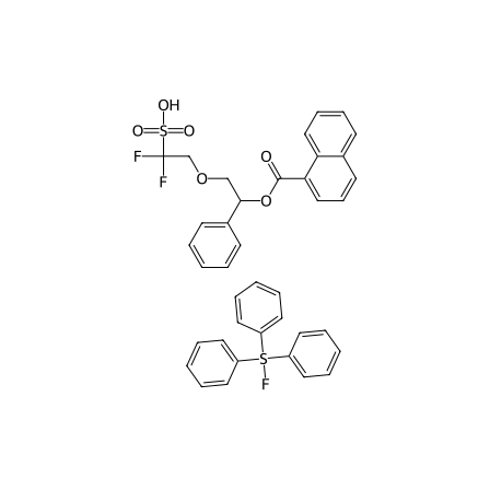 FS(c1ccccc1)(c1ccccc1)c1ccccc1.O=C(OC(COCC(F)(F)S(=O)(=O)O)c1ccccc1)c1cccc2ccccc12